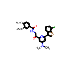 COc1ccc(C(=O)NCC(=O)c2cc(N(C)C)cc(-c3csc4c(F)cccc34)n2)cc1OC